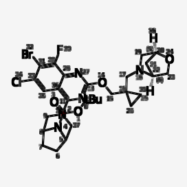 CC(C)(C)OC(=O)N1C2CCC1CN(c1nc(OCC3(CN4C[C@@H]5C[C@H]4CO5)CC3)nc3c(F)c(Br)c(Cl)cc13)C2